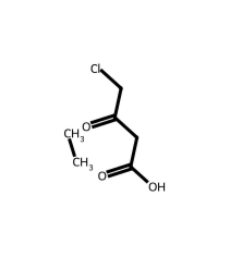 CC.O=C(O)CC(=O)CCl